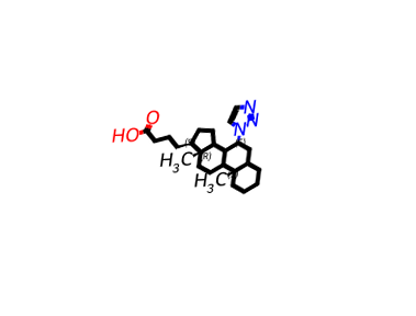 C[C@]12CCCCC1C[C@H](n1ccnn1)C1C2CC[C@@]2(C)C1CC[C@@H]2CCCC(=O)O